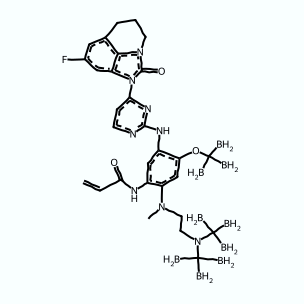 BC(B)(B)Oc1cc(N(C)CCN(C(B)(B)B)C(B)(B)B)c(NC(=O)C=C)cc1Nc1nccc(-n2c(=O)n3c4c(cc(F)cc42)CCC3)n1